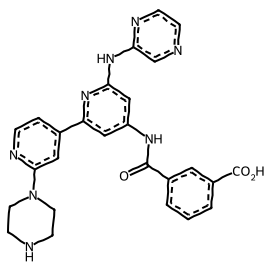 O=C(O)c1cccc(C(=O)Nc2cc(Nc3cnccn3)nc(-c3ccnc(N4CCNCC4)c3)c2)c1